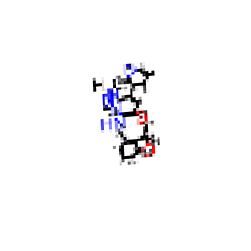 Cc1ncccc1-c1cc2c(n3cnnc13)NCc1cccc3c1[C@@H](CO3)CO2